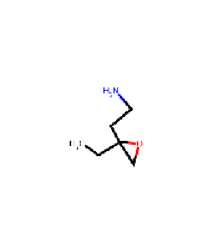 CCC1(CCN)CO1